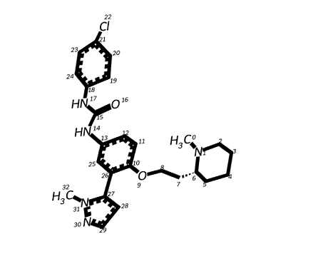 CN1CCCC[C@@H]1CCOc1ccc(NC(=O)Nc2ccc(Cl)cc2)cc1-c1ccnn1C